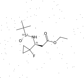 CCOC(=O)C[C@H](N[S@+]([O-])C(C)(C)C)C1(F)CC1